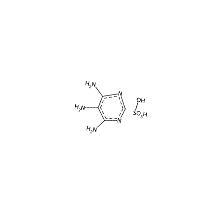 Nc1ncnc(N)c1N.O=S(=O)(O)O